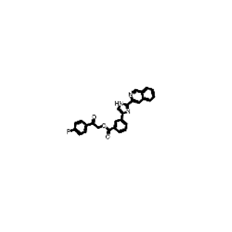 O=C(COC(=O)c1cccc(-c2c[nH]c(-c3cc4ccccc4cn3)n2)c1)c1ccc(F)cc1